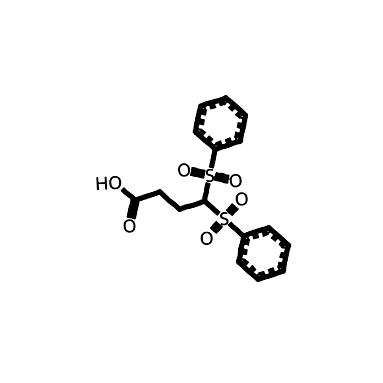 O=C(O)CCC(S(=O)(=O)c1ccccc1)S(=O)(=O)c1ccccc1